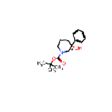 CC(C)(C)OC(=O)N1CCC[C@](O)(c2ccccc2)C1